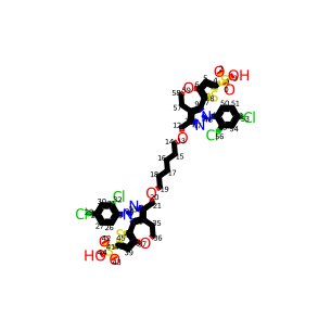 O=S(=O)(O)c1cc2c(s1)-c1c(c(COCCCCCCOCc3nn(-c4ccc(Cl)cc4Cl)c4c3CCOc3cc(S(=O)(=O)O)sc3-4)nn1-c1ccc(Cl)cc1Cl)CCO2